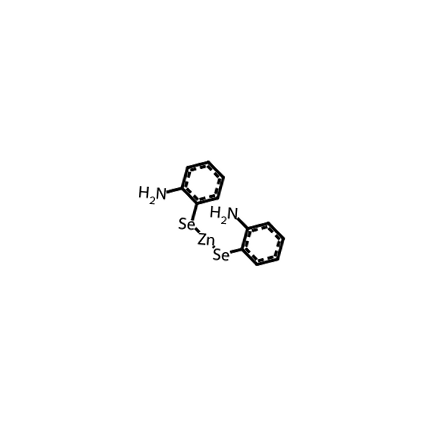 Nc1ccccc1[Se][Zn][Se]c1ccccc1N